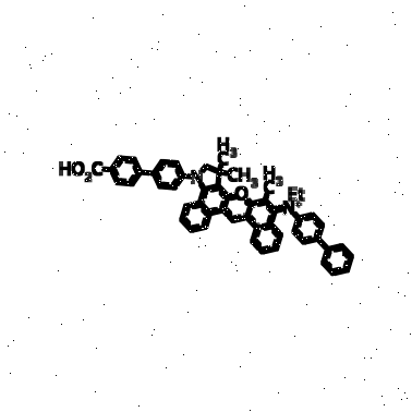 CC/[N+](c1ccc(-c2ccccc2)cc1)=c1\c(C)c2oc3c4c(c5ccccc5c3cc-2c2ccccc12)N(c1ccc(-c2ccc(C(=O)O)cc2)cc1)CC4(C)C